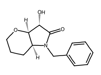 O=C1[C@@H](O)[C@@H]2OCCC[C@@H]2N1Cc1ccccc1